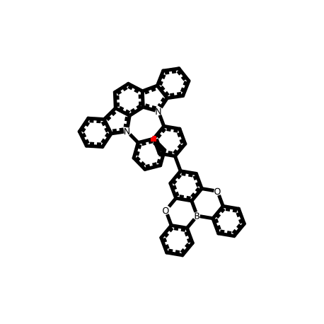 c1ccc(-n2c3ccccc3c3ccc4c5ccccc5n(-c5ccc(-c6cc7c8c(c6)Oc6ccccc6B8c6ccccc6O7)cc5)c4c32)cc1